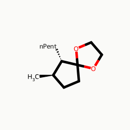 CCCCC[C@H]1[C@H](C)CCC12OCCO2